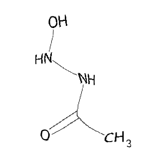 CC(=O)NNO